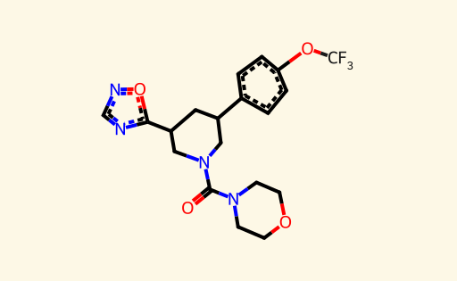 O=C(N1CCOCC1)N1CC(c2ccc(OC(F)(F)F)cc2)CC(c2ncno2)C1